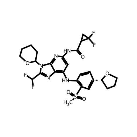 CS(=O)(=O)c1cc([C@H]2CCCO2)ccc1Nc1cc(NC(=O)C2CC2(F)F)nc2c1nc(C(F)F)n2C1CCCCO1